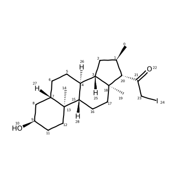 C[C@@H]1C[C@H]2[C@@H]3CC[C@H]4C[C@H](O)CC[C@]4(C)[C@H]3CC[C@]2(C)[C@H]1C(=O)CI